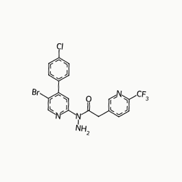 NN(C(=O)Cc1ccc(C(F)(F)F)nc1)c1cc(-c2ccc(Cl)cc2)c(Br)cn1